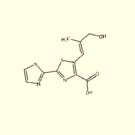 C/C(=C\c1sc(-c2nccs2)nc1C(=O)O)CO